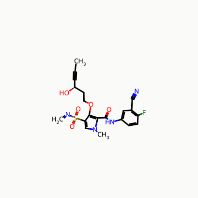 C=NS(=O)(=O)c1cn(C)c(C(=O)Nc2ccc(F)c(C#N)c2)c1OCC[C@@H](O)C#CC